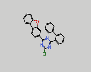 Clc1nc(-c2ccc3c(c2)oc2ccccc23)nc(-c2ccccc2-c2ccccc2)n1